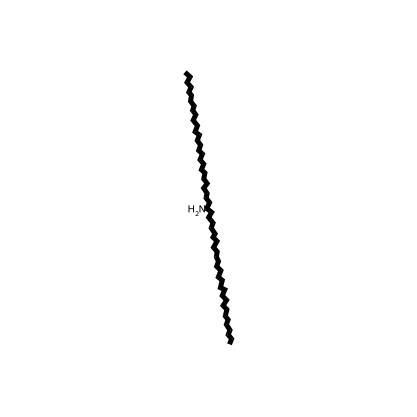 CCCCCCCCCCCCCCCCCCCCCCCCCCCCC(N)CCCCCCCCCCCCCCCCCCCCCCCCCCCC